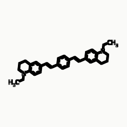 CCN1CCCc2cc(C=Cc3ccc(C=Cc4ccc5c(c4)CCCN5CC)cc3)ccc21